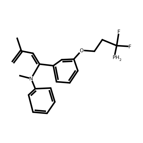 C=C(C)/C=C(/c1cccc(OCCC(F)(F)P)c1)N(C)c1ccccc1